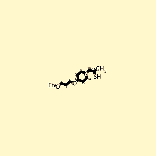 CCOCCCOC1CCN(CC(C)S)CC1